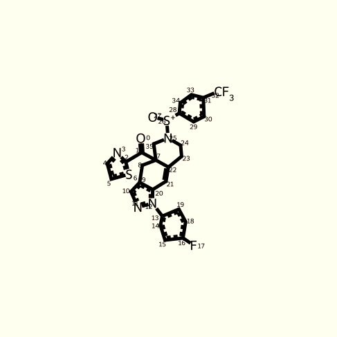 O=C(c1nccs1)C12Cc3cnn(-c4ccc(F)cc4)c3C=C1CCN([S+]([O-])c1ccc(C(F)(F)F)cc1)C2